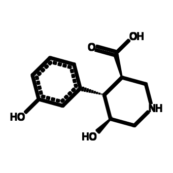 O=C(O)[C@H]1CNC[C@@H](O)[C@@H]1c1cccc(O)c1